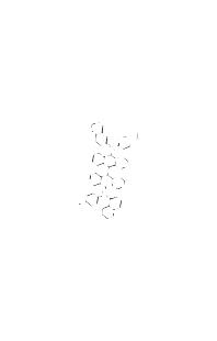 CC(C)c1ccc(N(c2ccc3ccccc3c2)c2c3ccccc3c(-c3c4ccccc4c(N(c4ccc(C(C)C)cc4)c4cccc5ccccc45)c4ccccc34)c3ccccc23)cc1